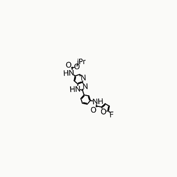 CC(C)OC(=O)Nc1cnc2nc(-c3cccc(NC(=O)c4ccc(F)o4)c3)[nH]c2c1